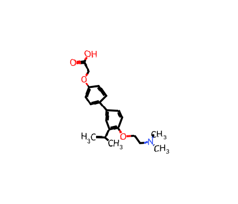 CC(C)c1cc(-c2ccc(OCC(=O)O)cc2)ccc1OCCN(C)C